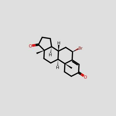 C[C@]12CCC(=O)C=C1[C@H](Br)C[C@@H]1[C@@H]2CC[C@]2(C)C(=O)CC[C@@H]12